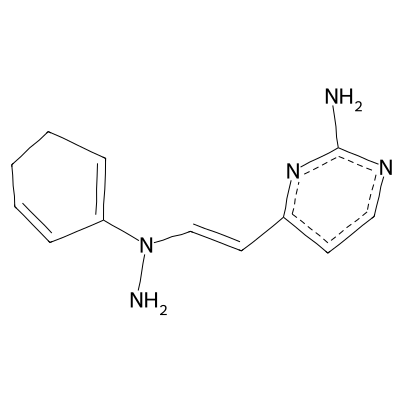 Nc1nccc(/C=C/N(N)C2=CCCC=C2)n1